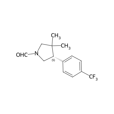 CC1(C)CN(C=O)C[C@H]1c1ccc(C(F)(F)F)cc1